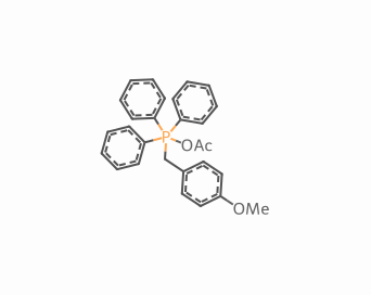 COc1ccc(CP(OC(C)=O)(c2ccccc2)(c2ccccc2)c2ccccc2)cc1